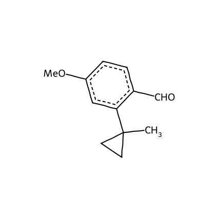 COc1ccc(C=O)c(C2(C)CC2)c1